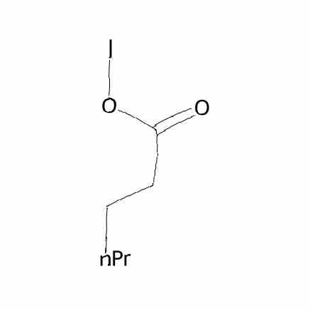 CCCCCC(=O)OI